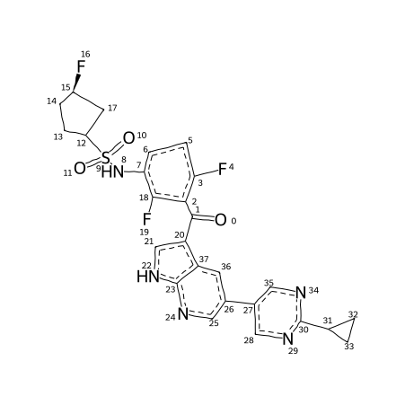 O=C(c1c(F)ccc(NS(=O)(=O)C2CC[C@@H](F)C2)c1F)c1c[nH]c2ncc(-c3cnc(C4CC4)nc3)cc12